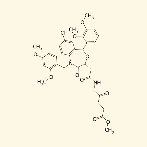 COC(=O)CCC(=O)CNC(=O)CC1OC(c2cccc(OC)c2OC)c2cc(Cl)ccc2N(Cc2ccc(OC)cc2OC)C1=O